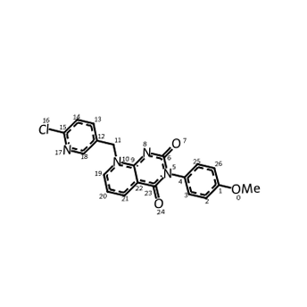 COc1ccc(-n2c(=O)nc3n(Cc4ccc(Cl)nc4)cccc-3c2=O)cc1